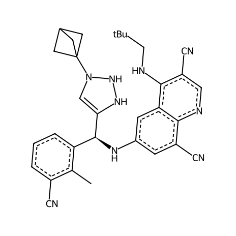 Cc1c(C#N)cccc1[C@H](Nc1cc(C#N)c2ncc(C#N)c(NCC(C)(C)C)c2c1)C1=CN(C23CC(C2)C3)NN1